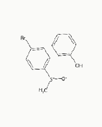 C[S+]([O-])c1ccc(Br)cc1.Oc1ccccc1